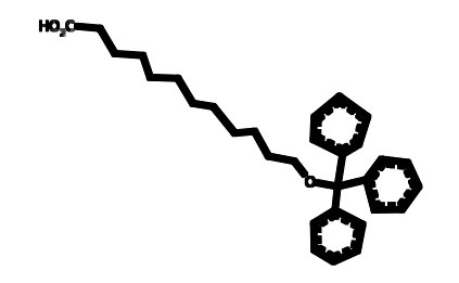 O=C(O)CCCCCCCCCCCOC(c1ccccc1)(c1ccccc1)c1ccccc1